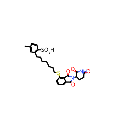 Cc1ccc(S(=O)(=O)O)c(CCCCCCCSc2cccc3c2C(=O)N(C2CCC(=O)NC2=O)C3=O)c1